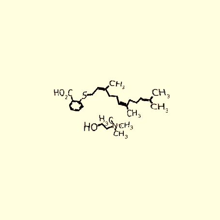 CC(C)=CCCC(C)=CCCC(C)=CCSc1ccccc1C(=O)O.C[N+](C)(C)CCO